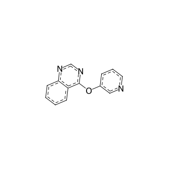 c1cncc(Oc2ncnc3ccccc23)c1